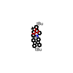 CC(C)(C)c1ccc2c(c1)C(C)(C)c1cccc(-c3ccccc3N(c3ccc4c(c3)C3(c5ccccc5-4)c4cc(C(C)(C)C)ccc4-c4ccc(C(C)(C)C)cc43)c3ccccc3-c3ccccc3)c1-2